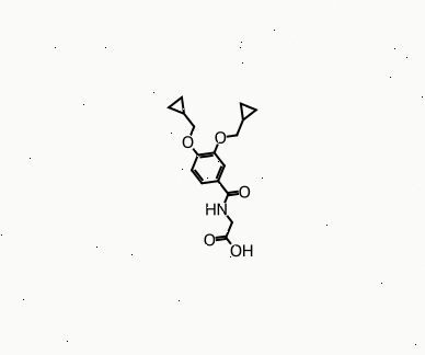 O=C(O)CNC(=O)c1ccc(OCC2CC2)c(OCC2CC2)c1